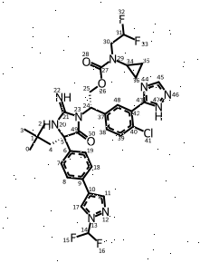 CC(C)(C)C[C@]1(c2ccc(-c3cnn(C(F)F)c3)cc2)NC(=N)N([C@H](COC(=O)N(CC(F)F)C2CC2)c2ccc(Cl)c(-c3ncn[nH]3)c2)C1=O